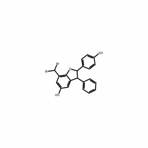 Oc1ccc(C2Oc3c(C(Br)Br)cc(O)cc3C2c2ccccc2)cc1